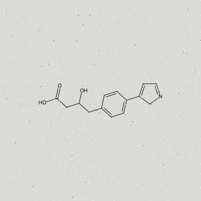 O=C(O)CC(O)Cc1ccc(C2=CC=NC2)cc1